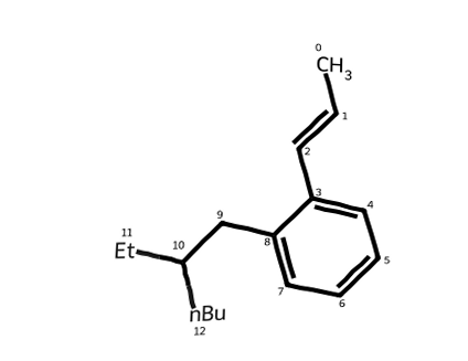 CC=Cc1ccccc1CC(CC)CCCC